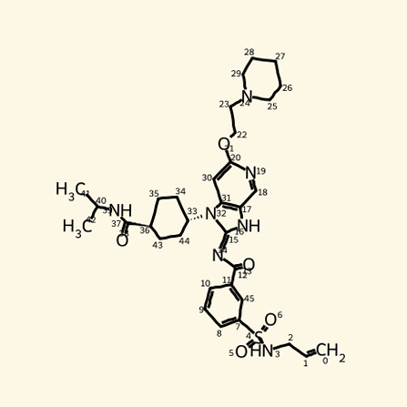 C=CCNS(=O)(=O)c1cccc(C(=O)/N=c2\[nH]c3cnc(OCCN4CCCCC4)cc3n2[C@H]2CC[C@H](C(=O)NC(C)C)CC2)c1